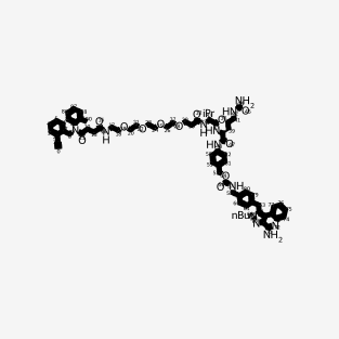 C#Cc1ccccc1CN(C(=O)CCC(=O)NCCOCCOCCOCCOCCC(=O)N[C@H](C(=O)N[C@@H](CCCNC(N)=O)C(=O)Nc1ccc(COC(=O)NCc2ccc(Cc3c4c(nn3CCCC)c(N)nc3ccccc34)cc2)cc1)C(C)C)c1ccccc1C